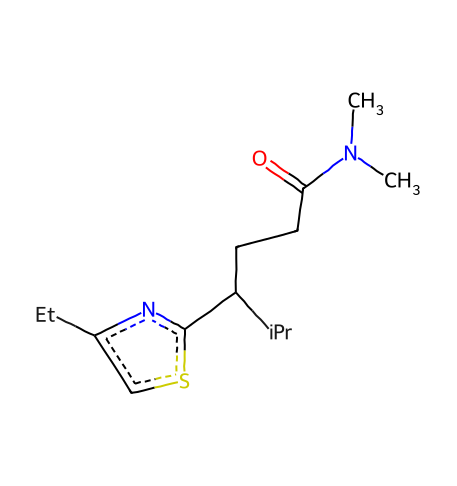 CCc1csc(C(CCC(=O)N(C)C)C(C)C)n1